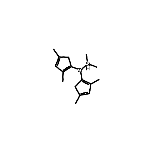 CC1=CC(C)=[C]([Zr]([C]2=C(C)C=C(C)C2)[SiH](C)C)C1